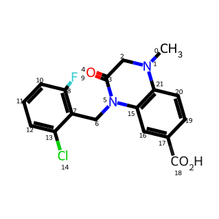 CN1CC(=O)N(Cc2c(F)cccc2Cl)c2cc(C(=O)O)ccc21